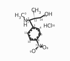 CN[C@H](c1ccc([N+](=O)[O-])cc1)[C@H](C)CO.Cl